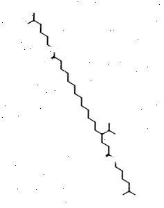 CC(C)CCCCOC(=O)CCCCCCCCCCCCC(CCC(=O)OCCCCC(C)C)C(C)C